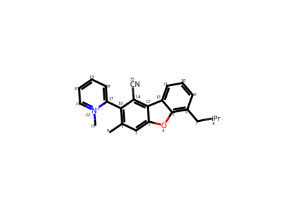 Cc1cc2oc3c(CC(C)C)cccc3c2c(C#N)c1-c1cccc[n+]1C